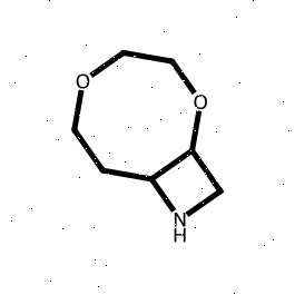 C1COC2CNC2CCO1